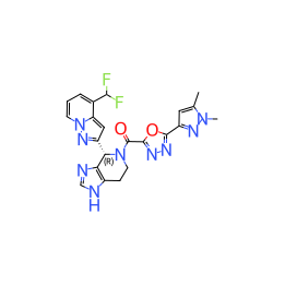 Cc1cc(-c2nnc(C(=O)N3CCc4[nH]cnc4[C@@H]3c3cc4c(C(F)F)cccn4n3)o2)nn1C